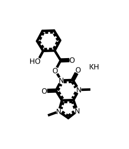 Cn1cnc2c1c(=O)n(OC(=O)c1ccccc1O)c(=O)n2C.[KH]